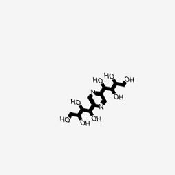 OCC(O)C(O)C(O)c1cnc(C(O)C(O)C(O)CO)cn1